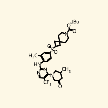 Cc1cc(S(=O)(=O)C2CC3(CCN(C(=O)OC(C)(C)C)CC3)C2)ccc1Nc1ncc(C(F)(F)F)c(N2CC(=O)CC(C)C2)n1